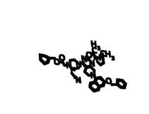 C[C@@H](Oc1nc2c(c(N3CCN(CC(=O)OCc4ccccc4)[C@@H](CC#N)C3)n1)CCN(c1cc(OCc3ccccc3)cc3ccccc13)C2)[C@H]1CCCN1C